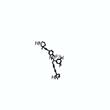 [2H]c1cc(F)cc(C(CC#CC#Cc2cc[nH]c2)n2cc3ccc(C#CC4(C)CCCNC4)cc3n2)c1F